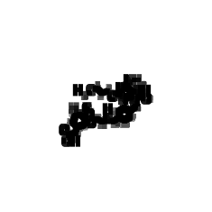 CCCCOc1nc(N)c2[nH]c(=O)n(Cc3ccc(CNCCOC4(OC)C=C(CC(=O)O)C=CC4)cc3)c2n1